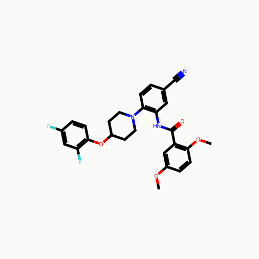 COc1ccc(OC)c(C(=O)Nc2cc(C#N)ccc2N2CCC(Oc3ccc(F)cc3F)CC2)c1